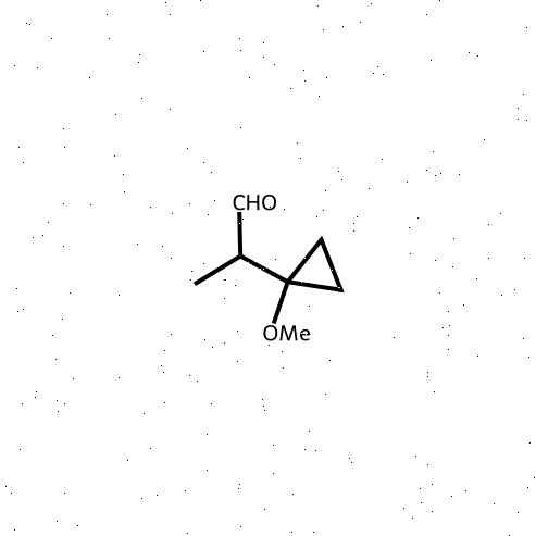 COC1(C(C)C=O)CC1